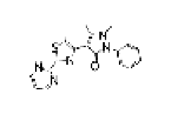 Cc1sc(-c2ncccn2)nc1-c1c(C)n(C)n(-c2ccccc2)c1=O